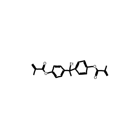 C=C(C)C(=O)Oc1ccc(C(C)(CC)c2ccc(OC(=O)C(=C)C)cc2)cc1